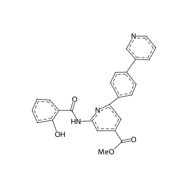 COC(=O)c1cc(NC(=O)c2ccccc2O)nc(-c2ccc(-c3cccnc3)cc2)c1